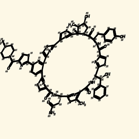 Cc1sc2nc1C(=O)N[C@@H]([C@H](O)c1ccccc1)c1nc(cs1)C(=O)NC(Cc1ccc(O)cc1)C(=O)N1C[C@H](O)[C@H](C)[C@H]1c1nc(cs1)-c1nc(cs1)-c1nc(-c3nc(C(=O)N4CCN(N)CC4)cs3)ccc1-c1nc(cs1)C(=O)N[C@H]2CC(N)=O